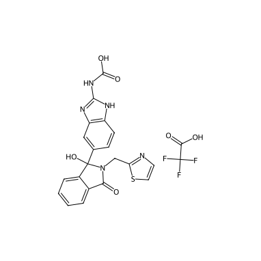 O=C(O)C(F)(F)F.O=C(O)Nc1nc2cc(C3(O)c4ccccc4C(=O)N3Cc3nccs3)ccc2[nH]1